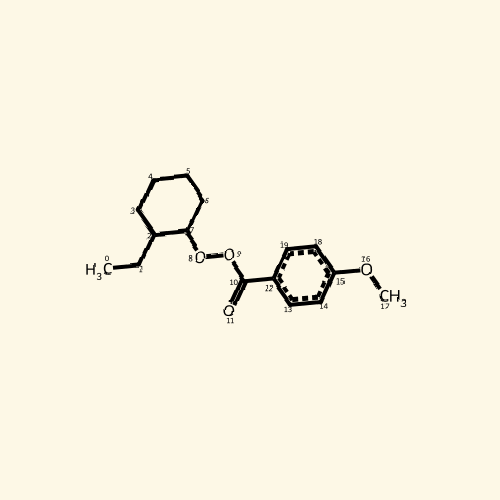 CCC1CCCC[C]1OOC(=O)c1ccc(OC)cc1